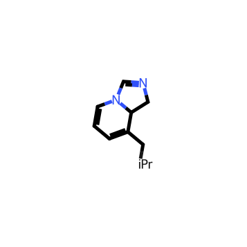 CC(C)CC1=CC=CN2C=NCC12